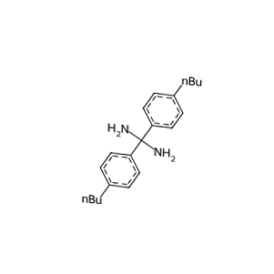 CCCCc1ccc(C(N)(N)c2ccc(CCCC)cc2)cc1